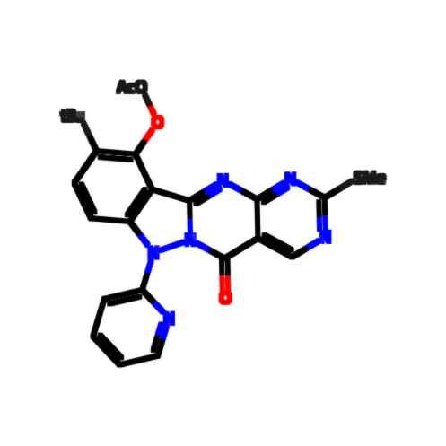 CSc1ncc2c(=O)n3c(nc2n1)c1c(OOC(C)=O)c(C(C)(C)C)ccc1n3-c1ccccn1